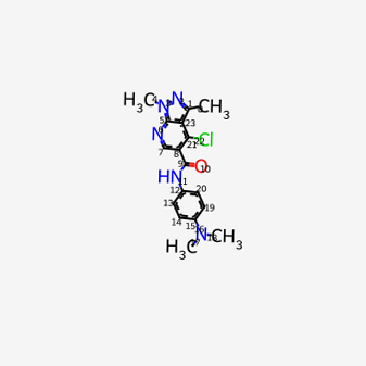 Cc1nn(C)c2ncc(C(=O)Nc3ccc(N(C)C)cc3)c(Cl)c12